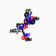 CC(C)C[C@@H](NC(=O)[C@@H](Cc1ccccc1)NC(=O)[C@@H](Cc1ccc(C(F)(F)F)cc1)NC(=O)OC(C)(C)C)C(=O)N[C@H](CCCCNC(=O)OC(C)(C)C)C(=O)O